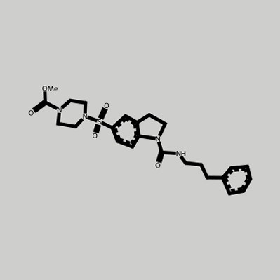 COC(=O)N1CCN(S(=O)(=O)c2ccc3c(c2)CCN3C(=O)NCCCc2ccccc2)CC1